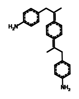 CC(Cc1ccc(N)cc1)=c1ccc(=C(C)Cc2ccc(N)cc2)cc1